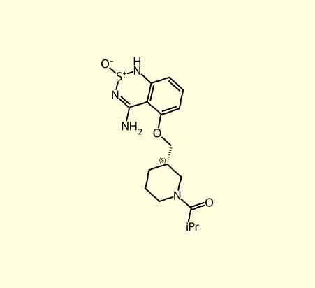 CC(C)C(=O)N1CCC[C@H](COc2cccc3c2C(N)=N[S+]([O-])N3)C1